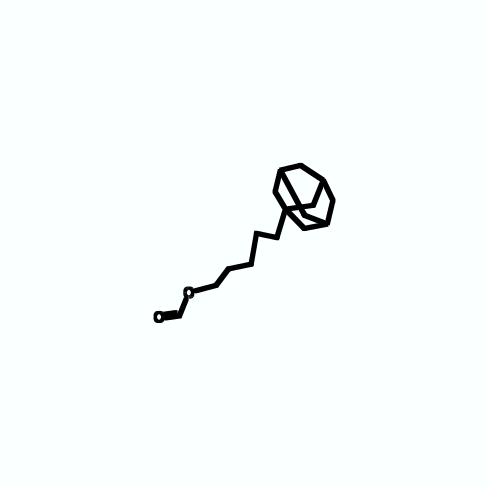 O=COCCCCCC12CC3CC(CC(C3)C1)C2